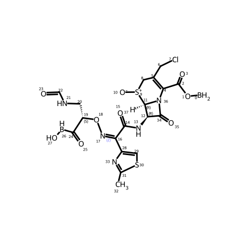 BOC(=O)C1=C(CCl)C[S+]([O-])[C@@H]2[C@H](NC(=O)/C(=N\O[C@@H](CNC=O)C(=O)BO)c3csc(C)n3)C(=O)N12